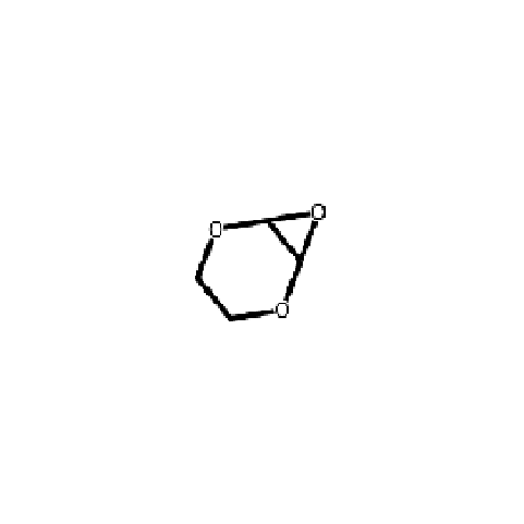 C1COC2OC2O1